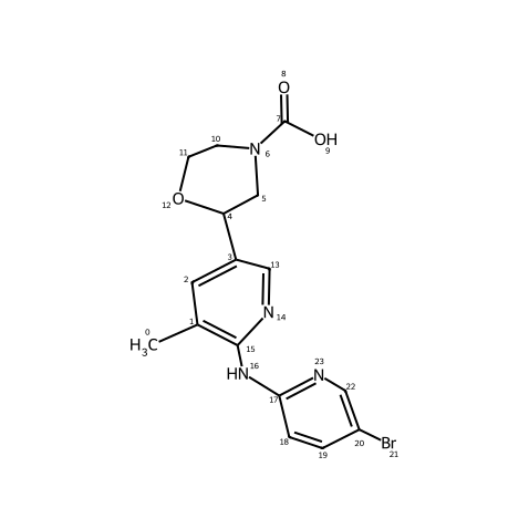 Cc1cc(C2CN(C(=O)O)CCO2)cnc1Nc1ccc(Br)cn1